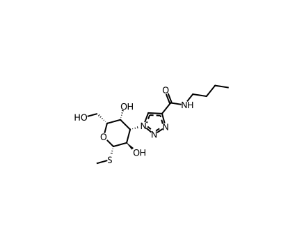 CCCCNC(=O)c1cn([C@H]2[C@@H](O)[C@@H](CO)O[C@@H](SC)[C@@H]2O)nn1